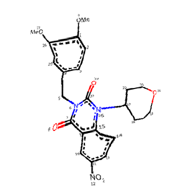 COc1ccc(Cn2c(=O)c3cc([N+](=O)[O-])ccc3n(C3CCOCC3)c2=O)cc1OC